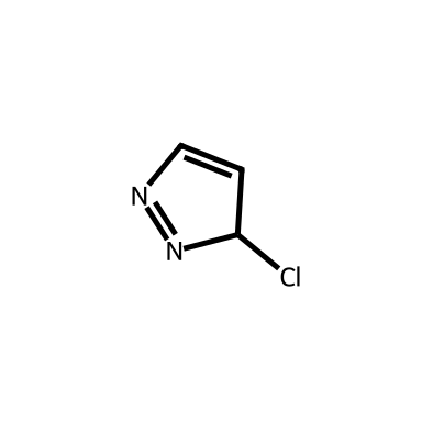 ClC1C=CN=N1